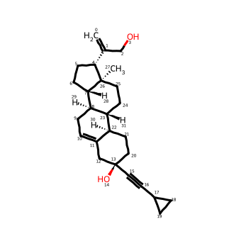 C=C(CO)[C@H]1CC[C@H]2[C@@H]3CC=C4C[C@@](O)(C#CC5CC5)CC[C@@H]4[C@H]3CC[C@]12C